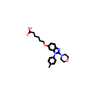 Cc1ccc(-n2c(N3CCOCC3)nc3ccc(OCCCCCC(=O)O)cc32)cc1